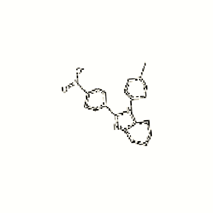 Cc1ccc(-n2c(-c3ccc([N+](=O)[O-])cc3)nc3ccccc32)cc1